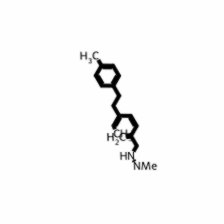 C=C(/C=C\C(=C/C)CCc1ccc(C)cc1)CNNC